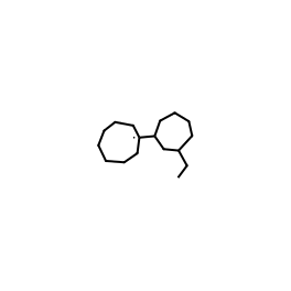 CCC1CCCCC([C]2CCCCCCC2)C1